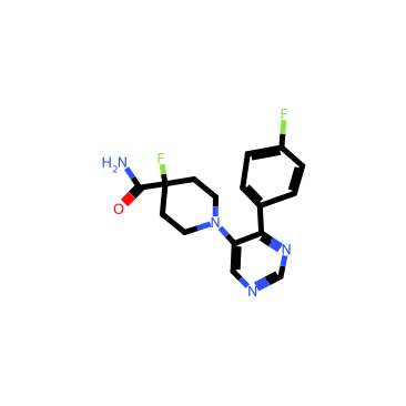 NC(=O)C1(F)CCN(c2cncnc2-c2ccc(F)cc2)CC1